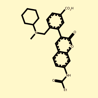 CCC(=O)Nc1ccc2cc(-c3cc(C(=O)O)ccc3CN(C)C3CCCCC3)c(=O)oc2c1